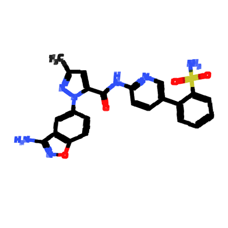 Nc1noc2ccc(-n3nc(C(F)(F)F)cc3C(=O)Nc3ccc(-c4ccccc4S(N)(=O)=O)cn3)cc12